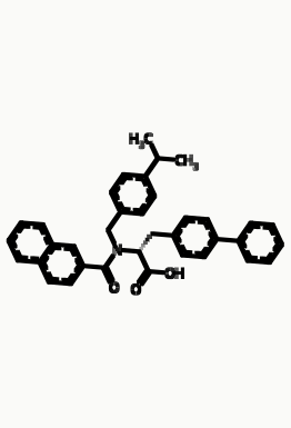 CC(C)c1ccc(CN(C(=O)c2ccc3ccccc3c2)[C@H](Cc2ccc(-c3ccccc3)cc2)C(=O)O)cc1